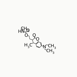 CCN(CC)c1ccc2c(c1)OC(=O)C(CCOC(=O)NC)C2C